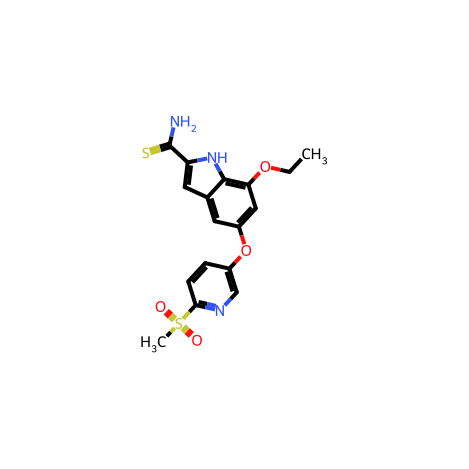 CCOc1cc(Oc2ccc(S(C)(=O)=O)nc2)cc2cc(C(N)=S)[nH]c12